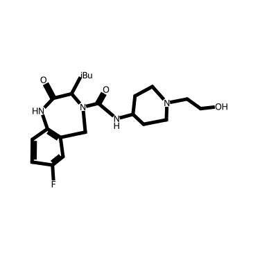 CCC(C)C1C(=O)Nc2ccc(F)cc2CN1C(=O)NC1CCN(CCO)CC1